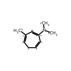 CC1=CCC=CC(N(C)C)=C1